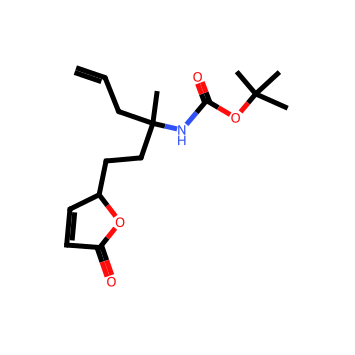 C=CCC(C)(CCC1C=CC(=O)O1)NC(=O)OC(C)(C)C